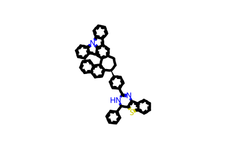 c1ccc(C2NC(c3ccc([C@@H]4CCc5cc6c7ccccc7n7c8ccccc8c(c5-c5c4ccc4ccccc54)c67)cc3)=Nc3c2sc2ccccc32)cc1